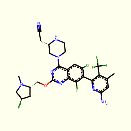 Cc1cc(N)nc(-c2c(Cl)cc3c(N4CCN[C@@H](CC#N)C4)nc(OC[C@@H]4C[C@@H](F)CN4C)nc3c2F)c1C(F)(F)F